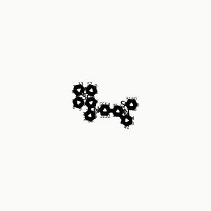 c1ccc([Si](c2ccccc2)(c2ccccc2)c2ccc3c(c2)c2ccccc2n3-c2ccc(-c3cc4c5c(c3)c3ccccc3n5-c3ccccc3S4)cc2)cc1